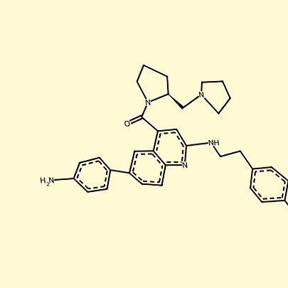 Nc1ccc(-c2ccc3nc(NCCc4ccc(Br)cc4)cc(C(=O)N4CCC[C@H]4CN4CCCC4)c3c2)cc1